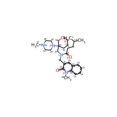 CC(C)CCC(=O)N(Cc1cc2ccccc2n(C)c1=O)CC1(N2CCN(C)CC2)CCCOC1